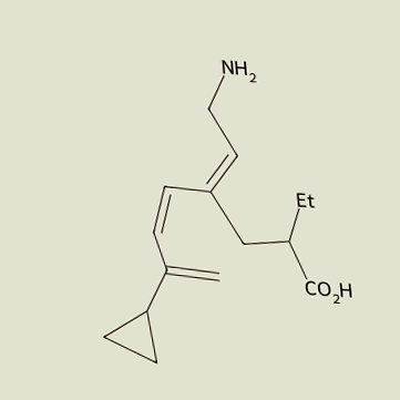 C=C(/C=C\C(=C/CN)CC(CC)C(=O)O)C1CC1